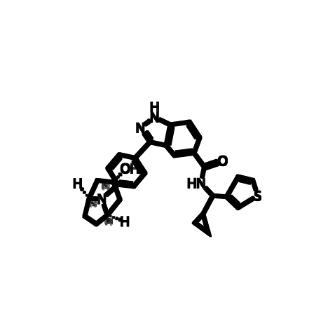 O=C(NC(c1ccsc1)C1CC1)c1ccc2[nH]nc(-c3ccc(N4[C@@H]5CC[C@H]4C[C@H](O)C5)cc3)c2c1